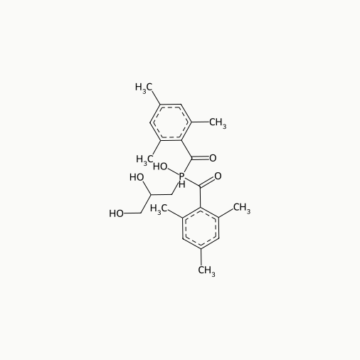 Cc1cc(C)c(C(=O)[PH](O)(CC(O)CO)C(=O)c2c(C)cc(C)cc2C)c(C)c1